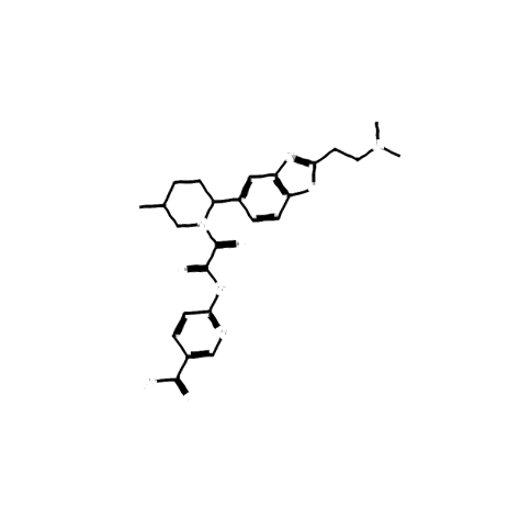 CC1CCC(c2ccc3sc(CCN(C)C)nc3c2)N(C(=O)C(=O)Nc2ccc(C(N)=O)cn2)C1